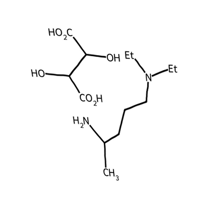 CCN(CC)CCCC(C)N.O=C(O)C(O)C(O)C(=O)O